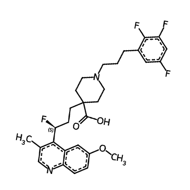 COc1ccc2ncc(C)c([C@@H](F)CCC3(C(=O)O)CCN(CCCc4cc(F)cc(F)c4F)CC3)c2c1